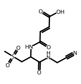 CS(=O)(=O)CC(NC(=O)C=CC(=O)O)C(=O)NCC#N